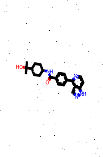 CC(C)(O)C1CCC(NC(=O)c2ccc(-c3nccc4[nH]ncc34)cc2)CC1